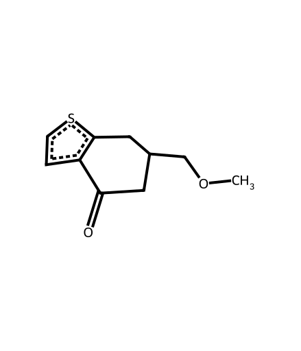 COCC1CC(=O)c2ccsc2C1